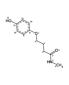 CNC(=O)CCCOc1ccc(O)cc1